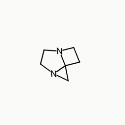 C1CN2CC23CCN13